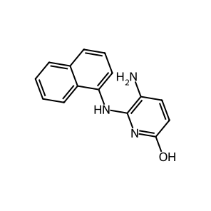 Nc1ccc(O)nc1Nc1cccc2ccccc12